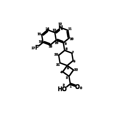 O=C(O)C1CC2(CCC(c3ccnc4ccc(F)cc34)CC2)C1